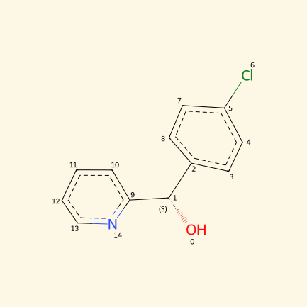 O[C@@H](c1ccc(Cl)cc1)c1ccccn1